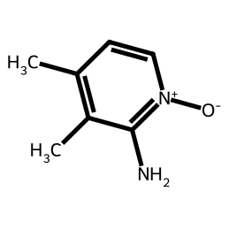 Cc1cc[n+]([O-])c(N)c1C